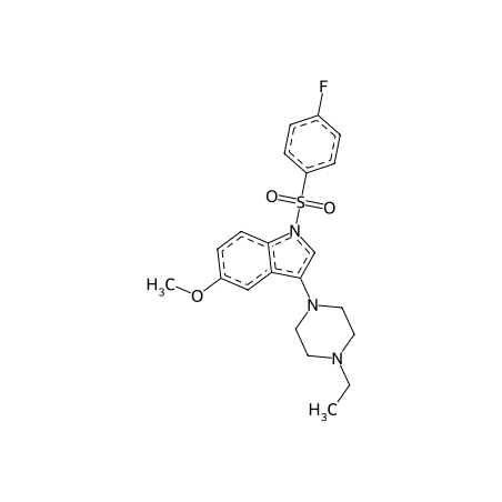 CCN1CCN(c2cn(S(=O)(=O)c3ccc(F)cc3)c3ccc(OC)cc23)CC1